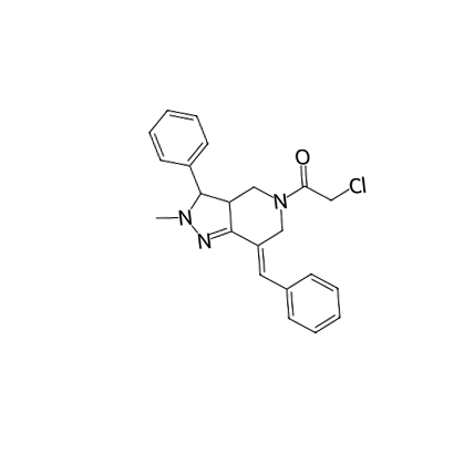 CN1N=C2/C(=C/c3ccccc3)CN(C(=O)CCl)CC2C1c1ccccc1